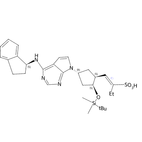 CC/C(=C\[C@@H]1C[C@@H](n2ccc3c(N[C@H]4CCc5ccccc54)ncnc32)C[C@@H]1O[Si](C)(C)C(C)(C)C)S(=O)(=O)O